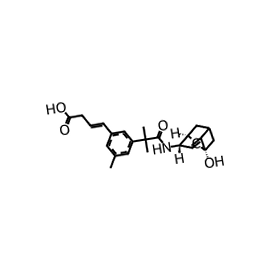 Cc1cc(/C=C/CC(=O)O)cc(C(C)(C)C(=O)N[C@H]2C=C3C4C[C@H]2C[C@]3(O)C4)c1